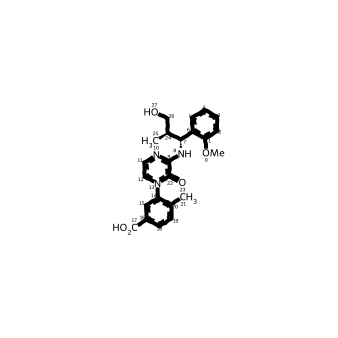 COc1ccccc1[C@H](Nc1nccn(-c2cc(C(=O)O)ccc2C)c1=O)[C@@H](C)CO